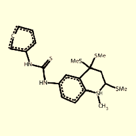 CSC1CC(SC)(SC)c2cc(NC(=S)Nc3ccccc3)ccc2[SH]1C